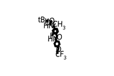 C[C@H](NC(=O)OC(C)(C)C)c1ccc(C(=O)NC2CCC(OCC(F)(F)F)CC2)c(F)c1